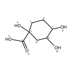 O=C(O)C1(O)C[CH]C(O)C(O)C1